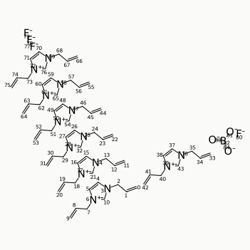 C=CCn1cc[n+](CC=C)c1.C=CCn1cc[n+](CC=C)c1.C=CCn1cc[n+](CC=C)c1.C=CCn1cc[n+](CC=C)c1.C=CCn1cc[n+](CC=C)c1.C=CCn1cc[n+](CC=C)c1.C=CCn1cc[n+](CC=C)c1.[F-].[F-].[F-].[F-].[O-]B([O-])[O-]